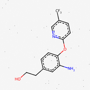 Nc1cc(CCO)ccc1Oc1ccc(C(F)(F)F)cn1